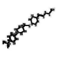 FCC/C=C/[C@H]1CC[C@H](CCC2CCC(c3ccc(C(F)F)cc3)CC2)CC1